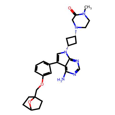 CN1CCN([C@H]2C[C@@H](n3cc(-c4cccc(OCC56CCC(CC5)O6)c4)c4c(N)ncnc43)C2)CC1=O